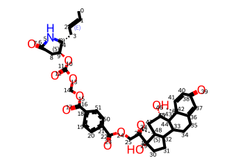 C/C=C/C[C@H]1NC(=O)C[C@@H]1OC(=O)OCOC(=O)c1ccc(C(=O)OCC(=O)[C@@]2(O)CCC3C4CCC5=CC(=O)C=C[C@]5(C)C4[C@@H](O)C[C@@]32C)cc1